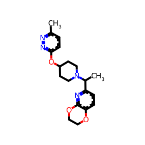 Cc1ccc(OC2CCN(C(C)c3ccc4c(n3)OCCO4)CC2)nn1